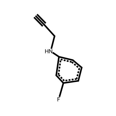 C#CCNc1cccc(F)c1